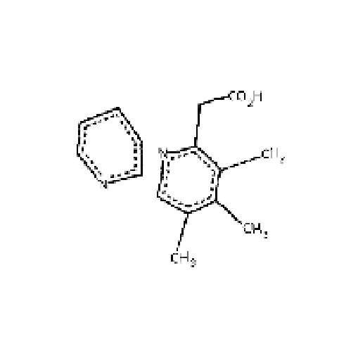 Cc1cnc(CC(=O)O)c(C)c1C.c1ccncc1